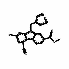 COC(=O)c1ccc2c3c(C#N)cc(Br)cc3n(Cc3ccccc3)c2c1